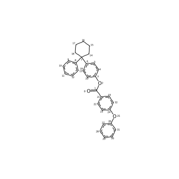 O=C(Oc1ccc(C2(c3ccccc3)CCCCC2)cc1)c1ccc(Oc2ccccc2)cc1